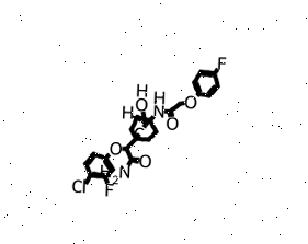 NC(=O)C(Oc1ccc(Cl)c(F)c1)C12CCC(NC(=O)COc3ccc(F)cc3)(CC1)[C@@H](O)C2